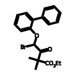 CCOC(=O)C(C)(C)C(=O)C(Br)Oc1ccccc1-c1ccccc1